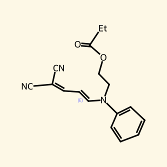 CCC(=O)OCCN(/C=C/C=C(C#N)C#N)c1ccccc1